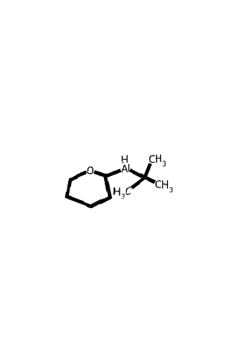 C[C](C)(C)[AlH][CH]1CCCCO1